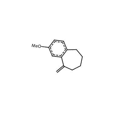 C=C1CCCCc2ccc(OC)cc21